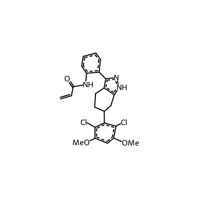 C=CC(=O)Nc1ccccc1-c1n[nH]c2c1CCC(c1c(Cl)c(OC)cc(OC)c1Cl)C2